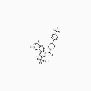 CC(=O)NC(CO)C(=O)N[C@@H](COP(=O)(O)O)C(=O)N1CCC(c2ccc(C(F)(F)F)cc2)CC1